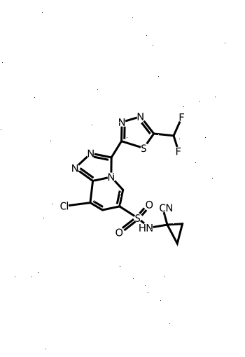 N#CC1(NS(=O)(=O)c2cc(Cl)c3nnc(-c4nnc(C(F)F)s4)n3c2)CC1